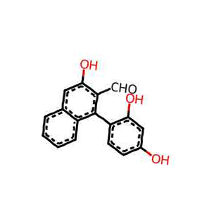 O=Cc1c(O)cc2ccccc2c1-c1ccc(O)cc1O